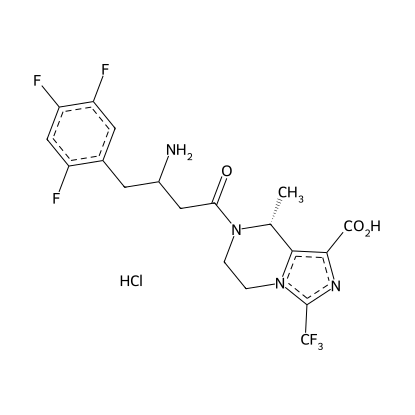 C[C@@H]1c2c(C(=O)O)nc(C(F)(F)F)n2CCN1C(=O)CC(N)Cc1cc(F)c(F)cc1F.Cl